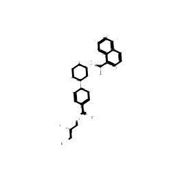 C[C@@H](N[C@H]1CCC[C@H](C2C=CC(C(=O)OC[C@H](O)CO)=CC2)C1)c1cccc2ccccc12